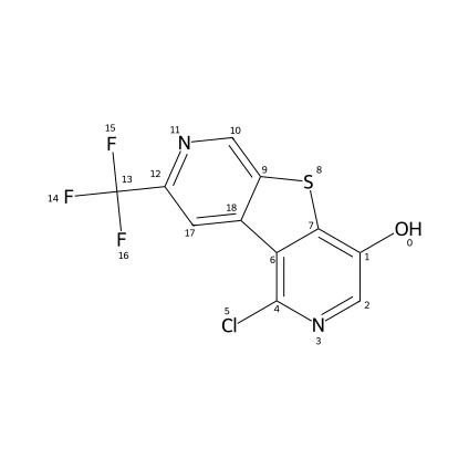 Oc1cnc(Cl)c2c1sc1cnc(C(F)(F)F)cc12